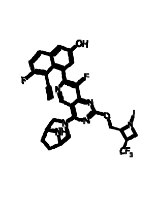 C#Cc1c(F)ccc2cc(O)cc(-c3ncc4c(N5CC6CCC(C5)N6)nc(OC[C@@H]5[C@H](C(F)(F)F)CN5I)nc4c3F)c12